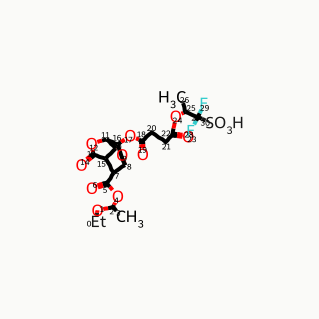 CCOC(C)OC(=O)C1C2OC3C(OC(=O)C31)C2OC(=O)CCC(=O)OC(C)C(F)(F)S(=O)(=O)O